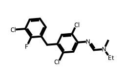 CCN(C)C=Nc1cc(Cl)c(Cc2cccc(Cl)c2F)cc1Cl